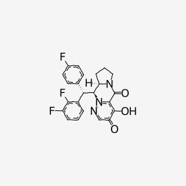 O=C1c2c(O)c(=O)cnn2[C@@H]([C@@H](c2ccc(F)cc2)c2cccc(F)c2F)[C@H]2CCCN12